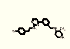 C[C@H]1CNCC[C@H]1NCc1cccc(-c2ccnc(NCCc3ccc(Br)cc3)n2)c1